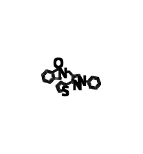 O=C1c2ccccc2CN1Cc1cn(-c2ccccc2)nc1-c1cccs1